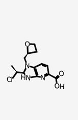 C[C@H](Cl)C1Nc2nc(C(=O)O)ccc2N1C[C@@H]1CCO1